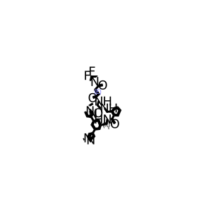 CCn1ccc(-c2cc(-c3cnn(C)c3)cc([C@@H](C)NC(=O)c3ccccc3CNC(=O)CNC(=O)/C=C/C(=O)N3CC(F)(F)C3)c2)n1